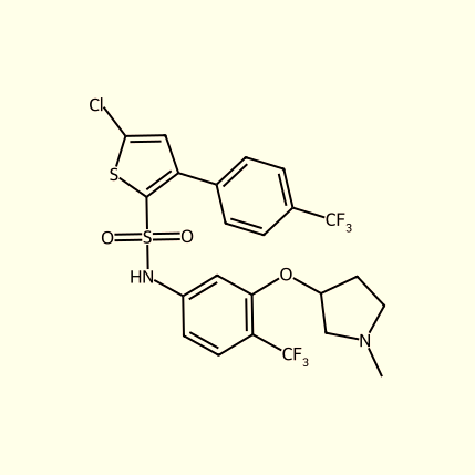 CN1CCC(Oc2cc(NS(=O)(=O)c3sc(Cl)cc3-c3ccc(C(F)(F)F)cc3)ccc2C(F)(F)F)C1